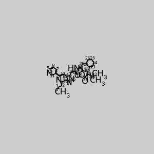 CCCc1nc(-c2cccnc2)cn2c(CC(=O)N[C@@H](CC3CCCCC3)[C@@H]3C[C@H](C(C)C)C(=O)O3)nnc12